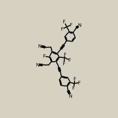 N#CCc1c(F)c(CC#N)c(C#Cc2ccc(C#N)c(C(F)(F)F)c2)c(C(F)(F)F)c1C#Cc1ccc(C#N)c(C(F)(F)F)c1